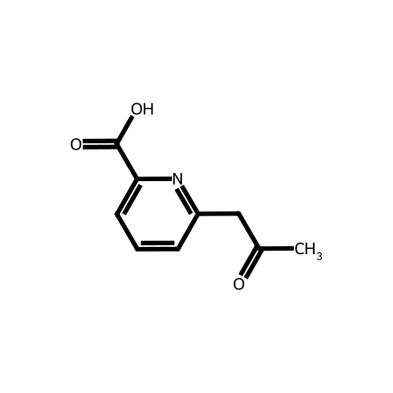 CC(=O)Cc1cccc(C(=O)O)n1